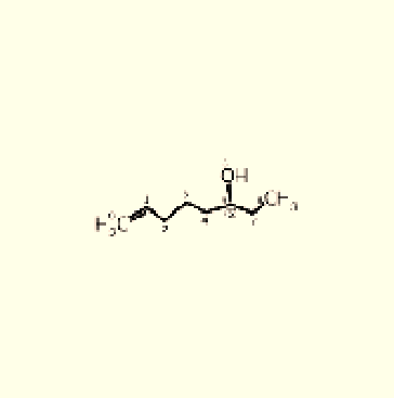 C=CCCC[C@@H](O)CC